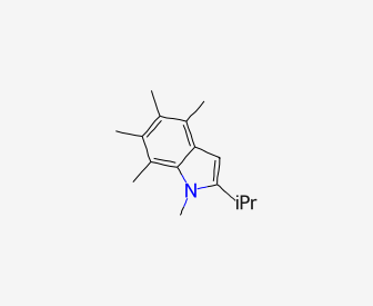 Cc1c(C)c(C)c2c(cc(C(C)C)n2C)c1C